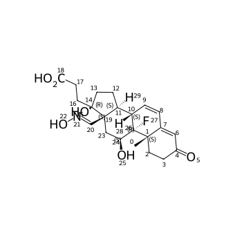 C[C@]12CCC(=O)C=C1C=C[C@H]1[C@@H]3CC[C@@](O)(CCC(=O)O)[C@@]3(C=NO)C[C@H](O)[C@@]12F